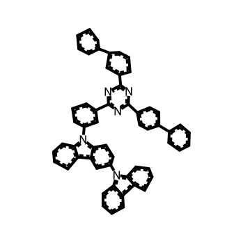 c1ccc(-c2ccc(-c3nc(-c4cccc(-c5ccccc5)c4)nc(-c4cccc(-n5c6ccccc6c6cc(-n7c8ccccc8c8ccccc87)ccc65)c4)n3)cc2)cc1